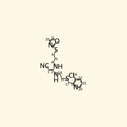 N#C/C=C(\NCCCSc1ncco1)NCCSCc1ncccc1Cl